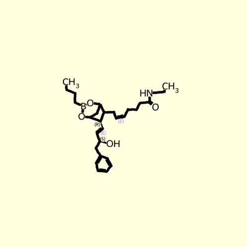 CCCCB1OC2CC(O1)[C@H](/C=C/[C@@H](O)Cc1ccccc1)C2C/C=C\CCCC(=O)NCC